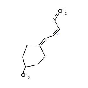 C=N/C=C\C=C1CCC(C)CC1